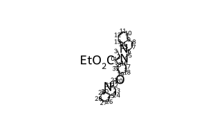 CCOC(=O)c1c(C)n(Cc2ccc3ccccc3n2)c2ccc(OCc3ccc4ccccc4n3)cc12